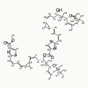 C/C=C/[C@@H](O[Si](C)(C)C(C)(C)C)C(C)(C)[C@H](C/C=C\[C@H]1C[C@H]1/C=C/C=C\c1nc(C(=O)OC)cs1)OC(=O)c1csc(/C=C\C=C\[C@@H]2C[C@@H]2/C=C\C[C@H](O)C(C)(C)[C@@H](/C=C/C)O[Si](C)(C)C(C)(C)C)n1